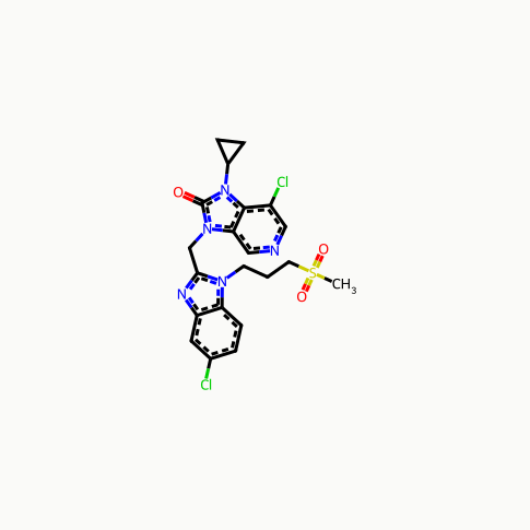 CS(=O)(=O)CCCn1c(Cn2c(=O)n(C3CC3)c3c(Cl)cncc32)nc2cc(Cl)ccc21